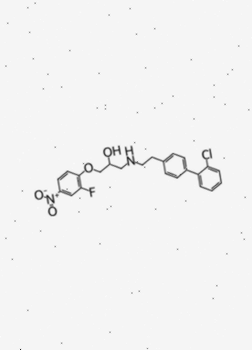 O=[N+]([O-])c1ccc(OCC(O)CNCCc2ccc(-c3ccccc3Cl)cc2)c(F)c1